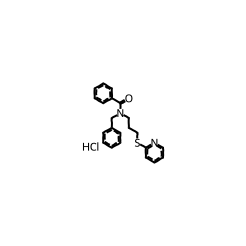 Cl.O=C(c1ccccc1)N(CCCSc1ccccn1)Cc1ccccc1